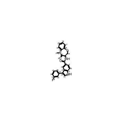 CN1C(=O)C(NC(=O)c2ccc3[nH]cc(-c4cccc(F)c4)c3c2)COc2ccccc21